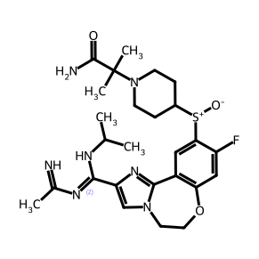 CC(=N)/N=C(\NC(C)C)c1cn2c(n1)-c1cc([S+]([O-])C3CCN(C(C)(C)C(N)=O)CC3)c(F)cc1OCC2